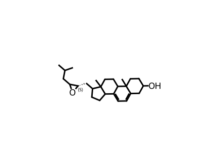 CC(C)CC1O[C@H]1CC1CCC2C3=CC=C4CC(O)CCC4(C)C3CCC12C